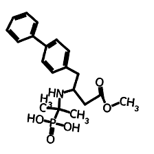 COC(=O)CC(Cc1ccc(-c2ccccc2)cc1)NC(C)(C)P(=O)(O)O